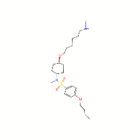 CCCCOc1ccc(S(=O)(=O)N(C)[C@H]2CC[C@H](OCCCCCCNC)CC2)cc1